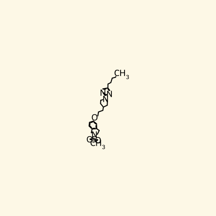 CCCCCc1cnc(N2CCC(CCCOc3ccc4c(c3)CCN(S(C)(=O)=O)C4)CC2)nc1